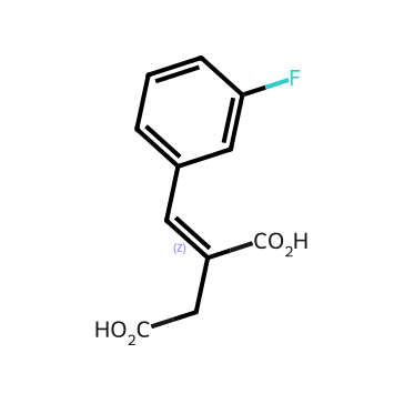 O=C(O)C/C(=C/c1cccc(F)c1)C(=O)O